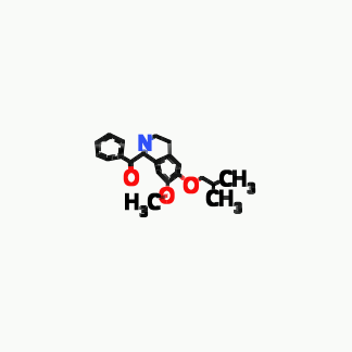 COc1cc2c(cc1OCC(C)C)CCN=C2C(=O)c1ccccc1